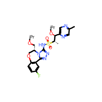 Cc1cnc([C@H](OC(C)C)[C@H](C)S(=O)(=O)Nc2nnc3n2[C@@H](COC(C)C)COc2ccc(F)cc2-3)cn1